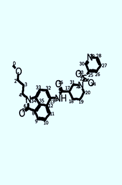 COCCCN1C(=O)c2cccc3c(NC(=O)C4CCCN(S(=O)(=O)c5cccnc5)C4)ccc1c23